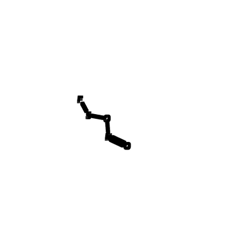 O=NOSF